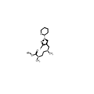 CN(CCN(C)C(=O)OC(C)(C)C)Cc1cn([C@H]2CCCCO2)nc1I